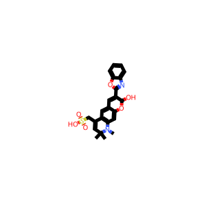 CN1c2cc3c(cc2C(CS(=O)(=O)O)=CC1(C)C)C=C(c1nc2ccccc2o1)C(O)O3